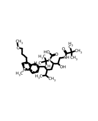 COCCCc1cn(C)c2ccc(CC(CC(C(O)CNC(=O)C(C)(C)C)N(C(=O)O)C(C)(C)C)C(C)C)cc12